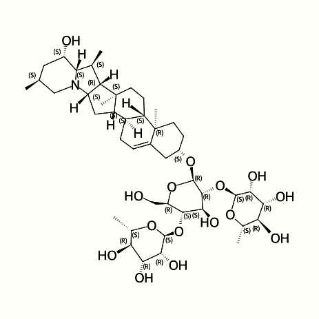 C[C@H]1C[C@H](O)[C@@H]2[C@@H](C)[C@H]3[C@H](C[C@H]4[C@@H]5CC=C6C[C@@H](O[C@@H]7O[C@H](CO)[C@@H](O[C@@H]8O[C@@H](C)[C@H](O)[C@@H](O)[C@H]8O)[C@H](O)[C@H]7O[C@@H]7O[C@@H](C)[C@H](O)[C@@H](O)[C@H]7O)CC[C@]6(C)[C@H]5CC[C@]34C)N2C1